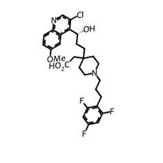 COc1ccc2ncc(Cl)c([C@H](O)CCC3(CC(=O)O)CCN(CCCc4c(F)cc(F)cc4F)CC3)c2c1